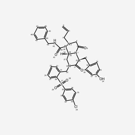 C=CCN1CC(=O)N2[C@@H](Cc3ccc(O)cc3)C(=O)N(Cc3ccccc3S(=O)(=O)c3ccc(Cl)cc3)C[C@@H]2N1C(=O)NCc1ccccc1